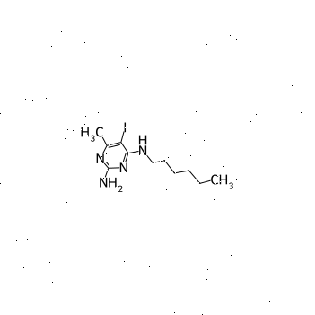 CCCCCCNc1nc(N)nc(C)c1I